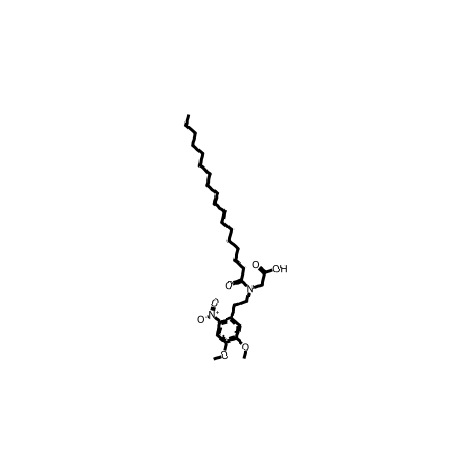 CCCCCCCCCCCCCCCCCC(=O)N(CCc1cc(OC)c(OC)cc1[N+](=O)[O-])CC(=O)O